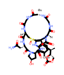 CC[C@H](C)[C@@H]1NC(=O)CNC(=O)[C@@H]2Cc3c([nH]c4cc(OC)ccc34)[S+]([O-])C[C@H](NC(=O)CNC1=O)C(=O)N[C@@H](CC(N)=O)C(=O)N1C[C@H](O)CC1C(=O)N[C@@H]([C@@H](C)[C@@H]1COC(=O)O1)C(=O)N2